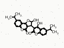 CC(C)c1ccc2oc(=O)c(C3c4c(c5cc(C(C)C)ccc5oc4=O)OC3O)c(O)c2c1